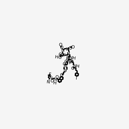 CC1(F)C[C@H](C#N)N(C(=O)CNC(=O)c2cccc3ccc(OCCCN4CCN(C(=O)CC(=O)NC(=O)[C@H](CC(F)CCNC(=O)CCCc5ccc(I)cc5)NC(=O)CN5CCN(COC=O)CCN(COC=O)CCN(CC(=O)O)CC5)CC4)cc23)C1